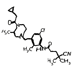 Cc1c(CN2CCN(C(=O)CC3CC3)C(C)C2)cc(Cl)cc1NC(=O)CCC(C)(C)C#N